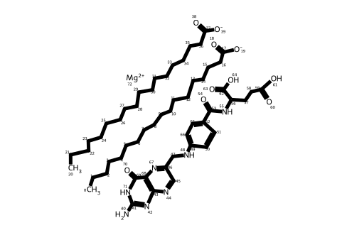 CCCCCCCCCCCCCCCCCC(=O)[O-].CCCCCCCCCCCCCCCCCC(=O)[O-].Nc1nc2ncc(CNc3ccc(C(=O)NC(CCC(=O)O)C(=O)O)cc3)nc2c(=O)[nH]1.[Mg+2]